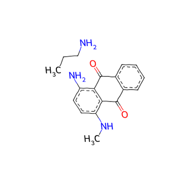 CCCN.CNc1ccc(N)c2c1C(=O)c1ccccc1C2=O